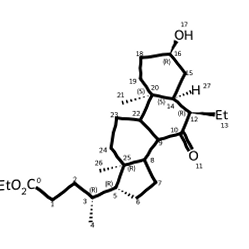 CCOC(=O)CC[C@@H](C)[C@H]1CCC2C3C(=O)[C@H](CC)[C@@H]4C[C@H](O)CC[C@]4(C)C3CC[C@@]21C